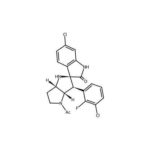 CC(=O)N1CC[C@@H]2N[C@@]3(C(=O)Nc4cc(Cl)ccc43)[C@@H](c3cccc(Cl)c3F)[C@@H]21